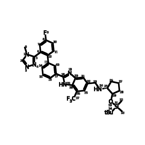 Cn1cnnc1-c1cc(F)ccc1-c1cccc(-c2nc3cc(CN[C@@H]4CCCC4O[Si](C)(C)C(C)(C)C)cc(C(F)(F)F)c3[nH]2)c1